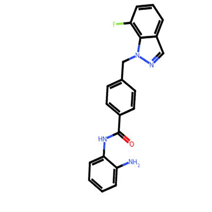 Nc1ccccc1NC(=O)c1ccc(Cn2ncc3cccc(F)c32)cc1